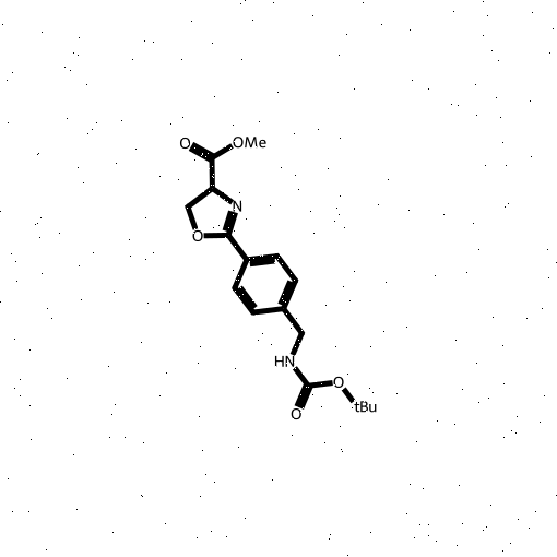 COC(=O)C1COC(c2ccc(CNC(=O)OC(C)(C)C)cc2)=N1